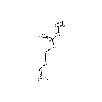 C=CCCCC(=O)OC(Cl)(Cl)Cl